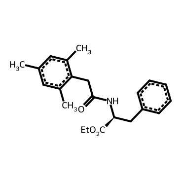 CCOC(=O)[C@H](Cc1ccccc1)NC(=O)Cc1c(C)cc(C)cc1C